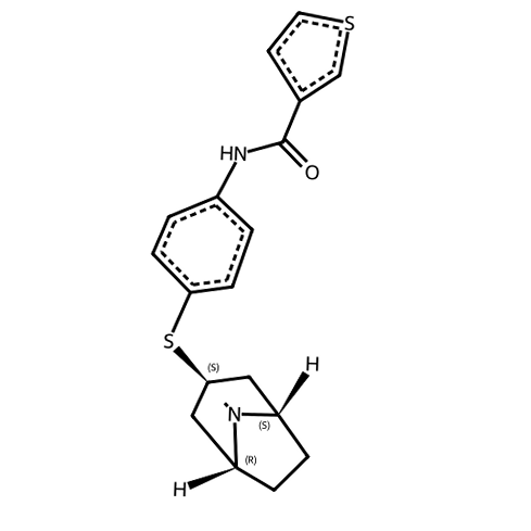 CN1[C@@H]2CC[C@H]1C[C@H](Sc1ccc(NC(=O)c3ccsc3)cc1)C2